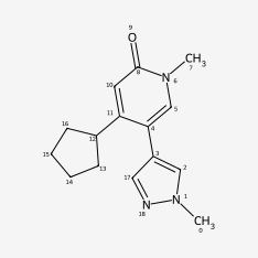 Cn1cc(-c2cn(C)c(=O)cc2C2CCCC2)cn1